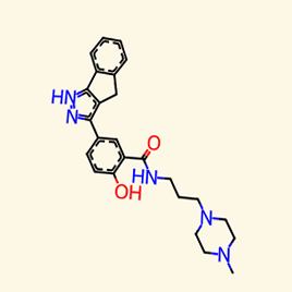 CN1CCN(CCCNC(=O)c2cc(-c3n[nH]c4c3Cc3ccccc3-4)ccc2O)CC1